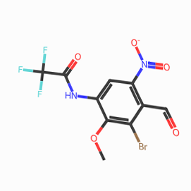 COc1c(NC(=O)C(F)(F)F)cc([N+](=O)[O-])c(C=O)c1Br